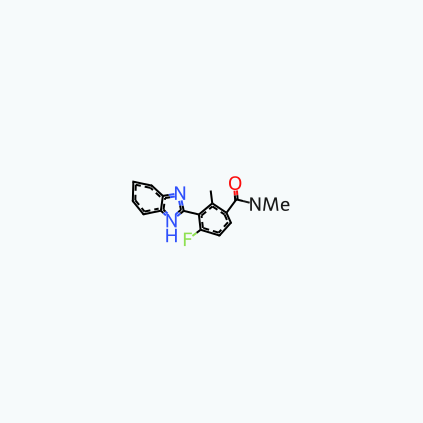 CNC(=O)c1ccc(F)c(-c2nc3ccccc3[nH]2)c1C